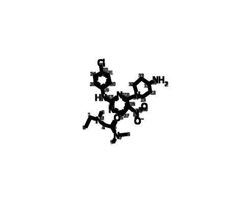 CCN(C)CC(=O)N(C)C.NC1CCN(c2nc(Nc3ccc(Cl)cc3)ncc2[N+](=O)[O-])CC1